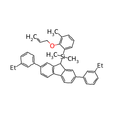 C=CCOc1c(C)cccc1[Si](C)(C)C1c2cc(-c3cccc(CC)c3)ccc2-c2ccc(-c3cccc(CC)c3)cc21